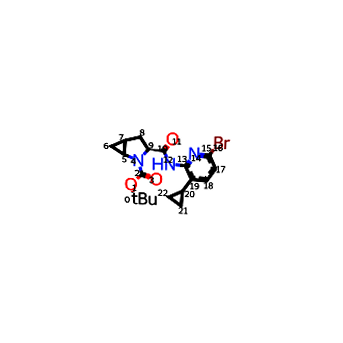 CC(C)(C)OC(=O)N1C2CC2C[C@H]1C(=O)Nc1nc(Br)ccc1C1CC1